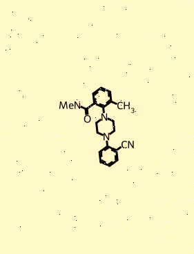 CNC(=O)c1cccc(C)c1N1CCN(c2ccccc2C#N)CC1